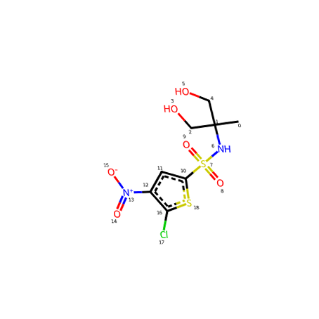 CC(CO)(CO)NS(=O)(=O)c1cc([N+](=O)[O-])c(Cl)s1